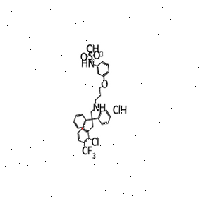 CS(=O)(=O)Nc1cccc(OCCCNCC(Cc2cccc(C(F)(F)F)c2Cl)(c2ccccc2)c2ccccc2)c1.Cl